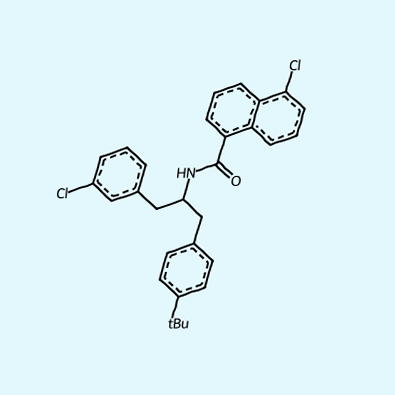 CC(C)(C)c1ccc(CC(Cc2cccc(Cl)c2)NC(=O)c2cccc3c(Cl)cccc23)cc1